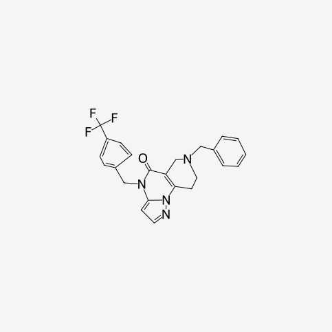 O=c1c2c(n3nccc3n1Cc1ccc(C(F)(F)F)cc1)CCN(Cc1ccccc1)C2